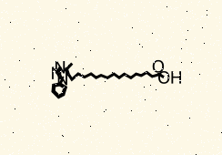 Cc1nnn(-c2ccccc2)c1CCCCCCCCCCCCCCCC(=O)O